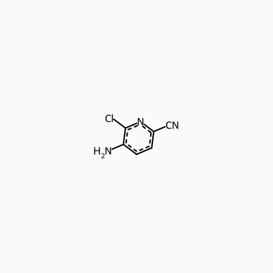 N#Cc1ccc(N)c(Cl)n1